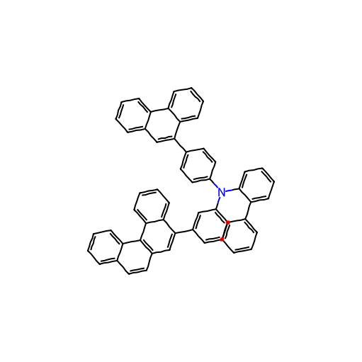 c1ccc(-c2ccccc2N(c2ccc(-c3cc4ccccc4c4ccccc34)cc2)c2cccc(-c3cc4ccc5ccccc5c4c4ccccc34)c2)cc1